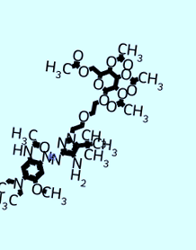 CCN(CC)c1cc(NC(C)=O)c(/N=N/c2nn(CCOCCOC3OC(COC(C)=O)C(OC(C)=O)C(OC(C)=O)C3OC(C)=O)c(C(C)(C)C)c2N)cc1OC